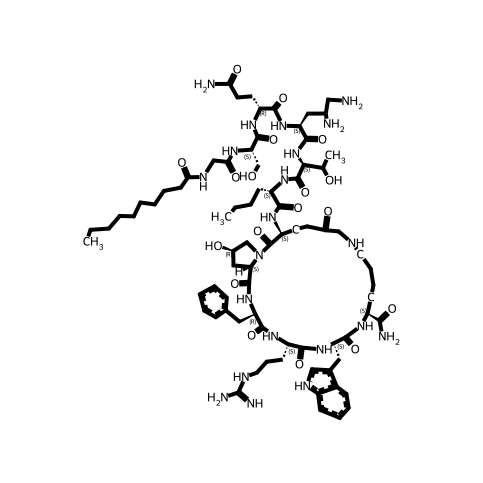 CCCCCCCCCC(=O)NCC(=O)N[C@@H](CO)C(=O)N[C@H](CCC(N)=O)C(=O)N[C@@H](CC(N)CN)C(=O)N[C@H](C(=O)N[C@@H](CCCC)C(=O)N[C@H]1CCC(=O)CNCCCC[C@@H](C(N)=O)NC(=O)[C@H](Cc2c[nH]c3ccccc23)NC(=O)[C@H](CCCNC(=N)N)NC(=O)[C@@H](Cc2ccccc2)NC(=O)[C@@H]2C[C@@H](O)CN2C1=O)C(C)O